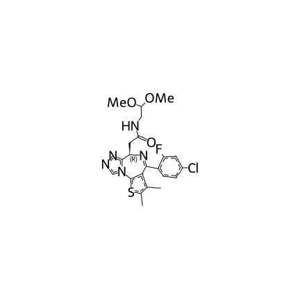 COC(CNC(=O)C[C@H]1N=C(c2ccc(Cl)cc2F)c2c(sc(C)c2C)-n2cnnc21)OC